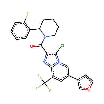 O=C(c1nc2c(C(F)(F)F)cc(-c3ccoc3)cn2c1Cl)N1CCCCC1c1ccccc1F